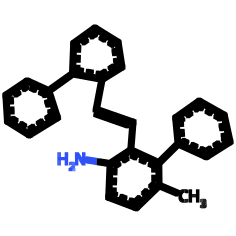 Cc1ccc(N)c(/C=C/c2ccccc2-c2ccccc2)c1-c1ccccc1